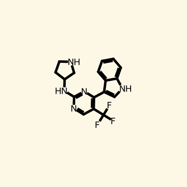 FC(F)(F)c1cnc(NC2CCNC2)nc1-c1c[nH]c2ccccc12